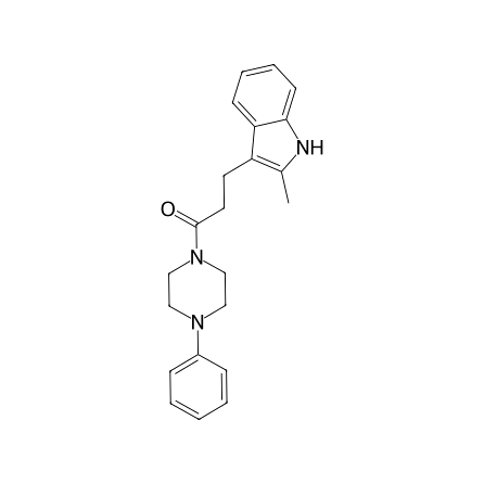 Cc1[nH]c2ccccc2c1CCC(=O)N1CCN(c2ccccc2)CC1